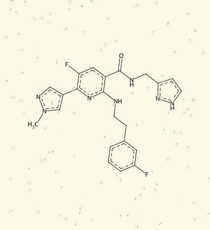 Cn1cc(-c2nc(NCCc3cccc(F)c3)c(C(=O)NCc3cc[nH]n3)cc2F)cn1